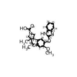 COc1ccc([C@@H]2CN(C(=O)O)C[C@@]2(C)[C@@H](C)O)cc1Oc1nc2ccccc2[nH]1